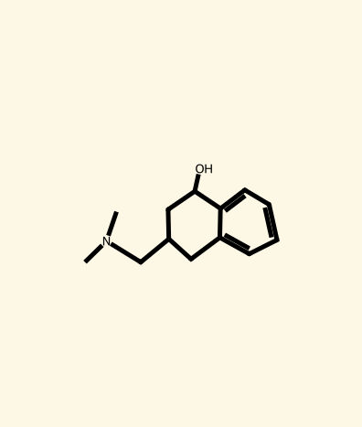 CN(C)CC1Cc2ccccc2C(O)C1